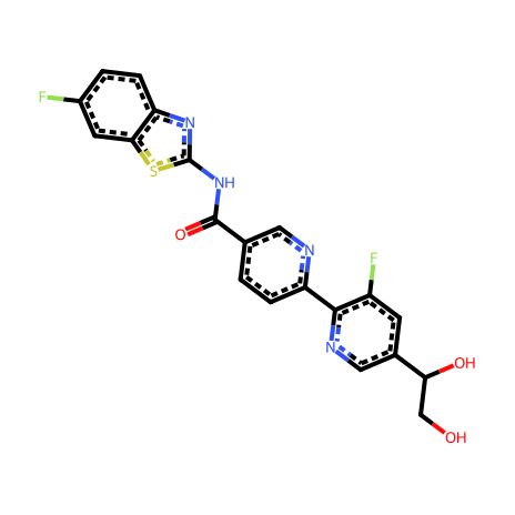 O=C(Nc1nc2ccc(F)cc2s1)c1ccc(-c2ncc(C(O)CO)cc2F)nc1